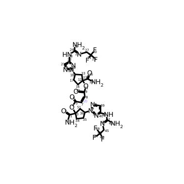 NC(=O)C1(OC(=O)/C=C\C(=O)OC2(C(N)=O)CCC(n3ncc(NC(N)=NCC(F)(F)F)n3)C2)CCC(n2ncc(NC(N)=NCC(F)(F)F)n2)C1